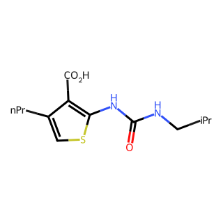 CCCc1csc(NC(=O)NCC(C)C)c1C(=O)O